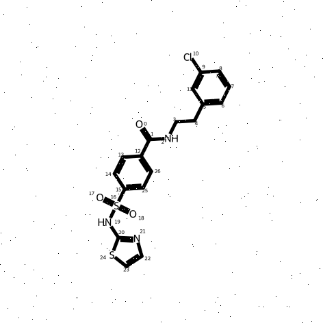 O=C(NCCc1cccc(Cl)c1)c1ccc(S(=O)(=O)Nc2nccs2)cc1